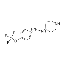 FC(F)(F)Oc1ccc(NNC2CCNCC2)cc1